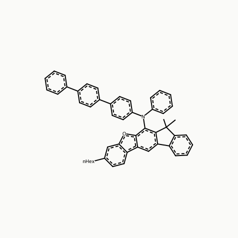 CCCCCCc1ccc2c(c1)oc1c(N(c3ccccc3)c3ccc(-c4ccc(-c5ccccc5)cc4)cc3)c3c(cc12)-c1ccccc1C3(C)C